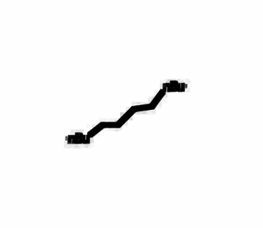 CCC[CH]CCCC[CH]CCC